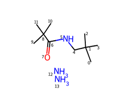 CC(C)(C)CNC(=O)C(C)(C)C.N.N